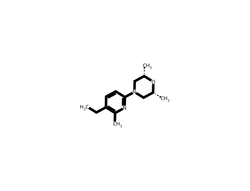 CCc1ccc(N2C[C@@H](C)O[C@@H](C)C2)nc1C